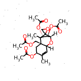 CC(=O)OC[C@]12C[C@H](OC(C)=O)C(C)=C[C@H]1O[C@@H]1[C@H](OC(C)=O)[C@@H](OC(C)=O)C2(C)C12CO2